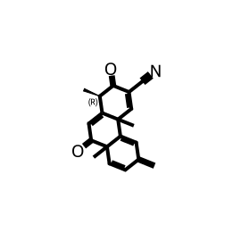 C=C1C=CC2(C)C(=O)C=C3[C@@H](C)C(=O)C(C#N)=CC3(C)C2=C1